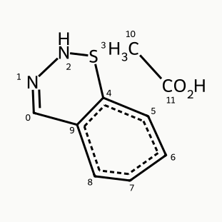 C1=NNSc2ccccc21.CC(=O)O